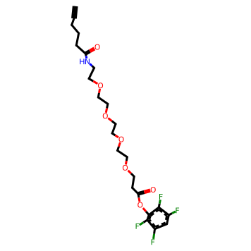 C#CCCCC(=O)NCCOCCOCCOCCOCCC(=O)Oc1c(F)c(F)cc(F)c1F